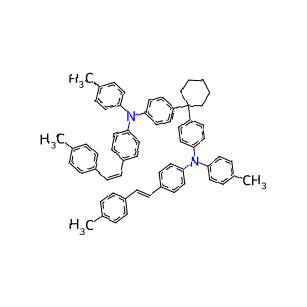 Cc1ccc(C=Cc2ccc(N(c3ccc(C)cc3)c3ccc(C4(c5ccc(N(c6ccc(C)cc6)c6ccc(C=Cc7ccc(C)cc7)cc6)cc5)CCCCC4)cc3)cc2)cc1